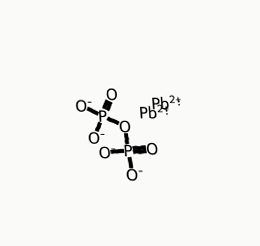 O=P([O-])([O-])OP(=O)([O-])[O-].[Pb+2].[Pb+2]